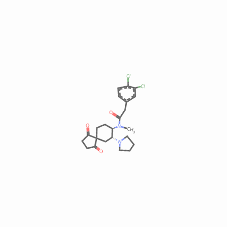 CN(C(=O)Cc1ccc(Cl)c(Cl)c1)[C@@H]1CCC2(C[C@H]1N1CCCC1)C(=O)CCC2=O